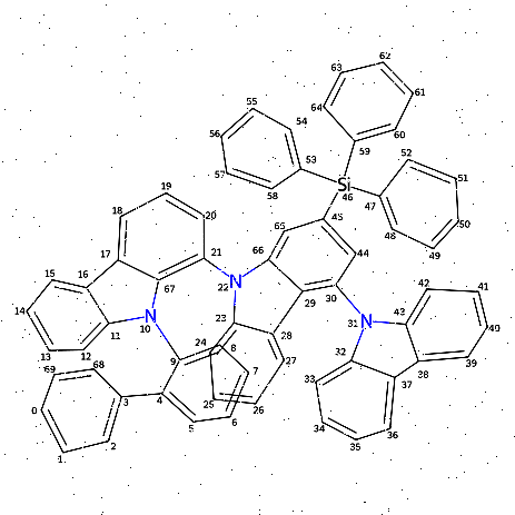 c1ccc(-c2ccccc2-n2c3ccccc3c3cccc(-n4c5ccccc5c5c(-n6c7ccccc7c7ccccc76)cc([Si](c6ccccc6)(c6ccccc6)c6ccccc6)cc54)c32)cc1